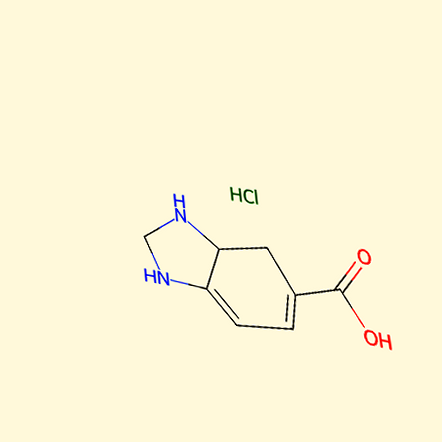 Cl.O=C(O)C1=CC=C2NCNC2C1